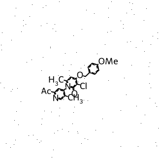 COc1ccc(COc2cc(C)n(-c3cc(C(C)=O)ncc3C)c(=O)c2Cl)cc1